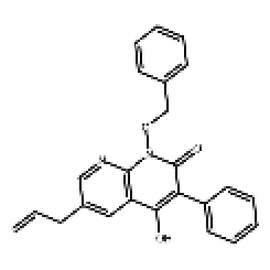 C=CCc1cnc2c(c1)c(O)c(-c1ccccc1)c(=O)n2OCc1ccccc1